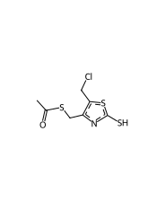 CC(=O)SCc1nc(S)sc1CCl